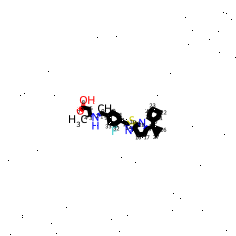 C[C@H](N[C@@H](C)CC(=O)O)c1ccc(-c2nc3ccc(C4(c5ccccc5)C=C4)nc3s2)c(F)c1